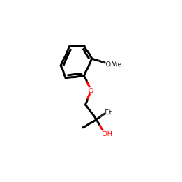 CCC(C)(O)COc1ccccc1OC